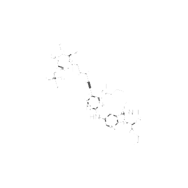 CCCNc1nc(Nc2cnc3c(c2)[C@@](N)(OC)N3C(=O)OCC)ncc1C#CCCCNC(=O)[C@H](C)N(C)C(=O)OC(C)(C)C